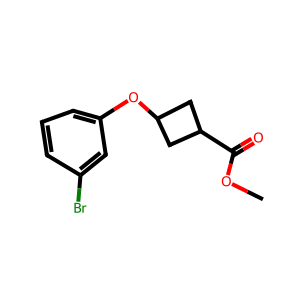 COC(=O)C1CC(Oc2cccc(Br)c2)C1